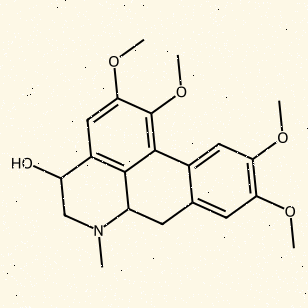 COc1cc2c(cc1OC)-c1c(OC)c(OC)cc3c1C(C2)N(C)CC3O